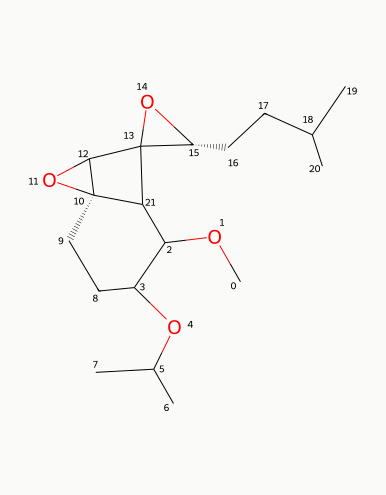 COC1C(OC(C)C)CC[C@]23OC2C2(O[C@@H]2CCC(C)C)C13